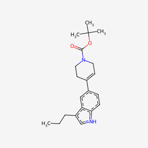 CCCc1c[nH]c2ccc(C3=CCN(C(=O)OC(C)(C)C)CC3)cc12